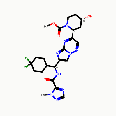 CC(C)n1ncnc1C(=O)N[C@H](c1cn2ncc([C@@H]3C[C@@H](O)CCN3C(=O)OC(C)(C)C)nc2n1)C1CCC(F)(F)CC1